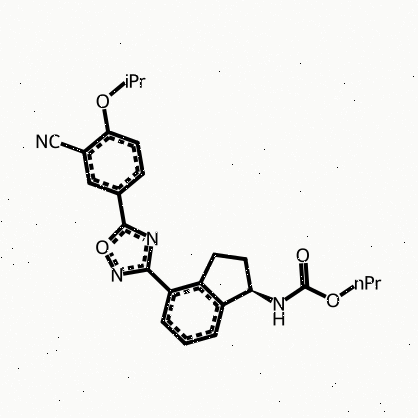 CCCOC(=O)N[C@@H]1CCc2c(-c3noc(-c4ccc(OC(C)C)c(C#N)c4)n3)cccc21